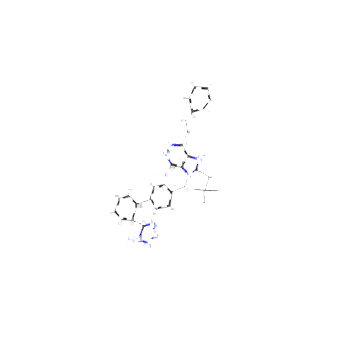 CC(C)(C)Cc1nc2c(CCc3ccccc3)nnc(O)c2n1Cc1ccc(-c2ccccc2-c2nnn[nH]2)cc1